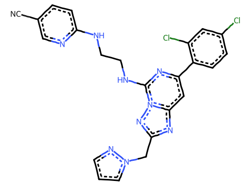 N#Cc1ccc(NCCNc2nc(-c3ccc(Cl)cc3Cl)cc3nc(Cn4cccn4)nn23)nc1